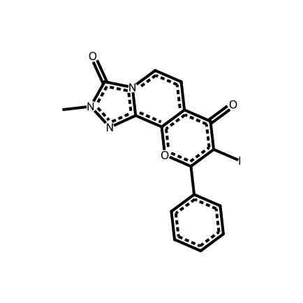 Cn1nc2c3oc(-c4ccccc4)c(I)c(=O)c3ccn2c1=O